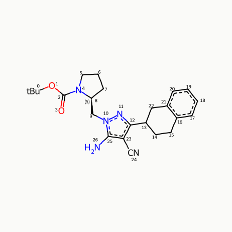 CC(C)(C)OC(=O)N1CCC[C@H]1Cn1nc(C2CCc3ccccc3C2)c(C#N)c1N